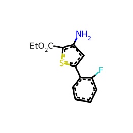 CCOC(=O)c1sc(-c2ccccc2F)cc1N